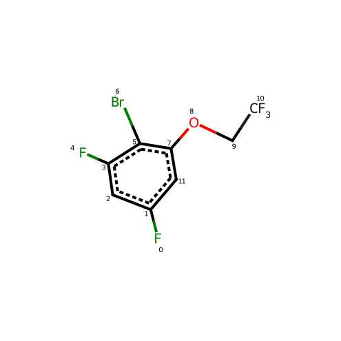 Fc1cc(F)c(Br)c(OCC(F)(F)F)c1